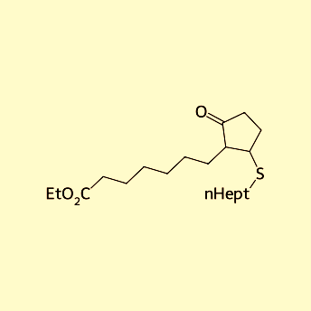 CCCCCCCSC1CCC(=O)C1CCCCCCC(=O)OCC